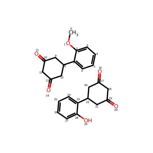 COc1ccccc1C1CC(=O)CC(=O)C1.O=C1CC(=O)CC(c2ccccc2O)C1